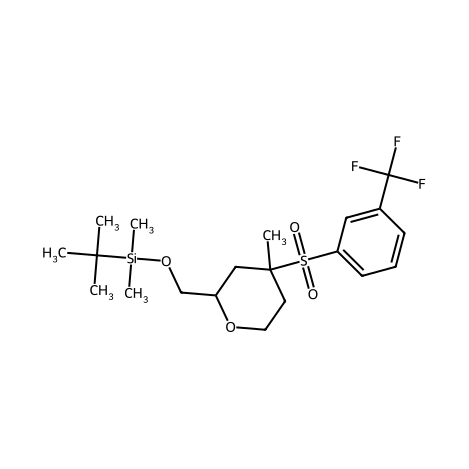 CC(C)(C)[Si](C)(C)OCC1CC(C)(S(=O)(=O)c2cccc(C(F)(F)F)c2)CCO1